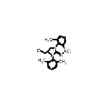 CC(=O)N=C1N(c2c(C)cccc2C)CC(CCl)N1c1c(C)cccc1C